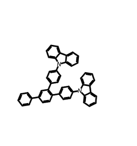 c1ccc(-c2ccc(-c3ccc(-n4c5ccccc5c5ccccc54)cc3)c(-c3ccc(-n4c5ccccc5c5ccccc54)cc3)c2)cc1